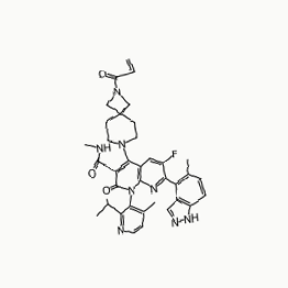 C=CC(=O)N1CC2(CCN(c3c(C(=O)NC)c(=O)n(-c4c(C)ccnc4C(C)C)c4nc(-c5c(C)ccc6[nH]ncc56)c(F)cc34)CC2)C1